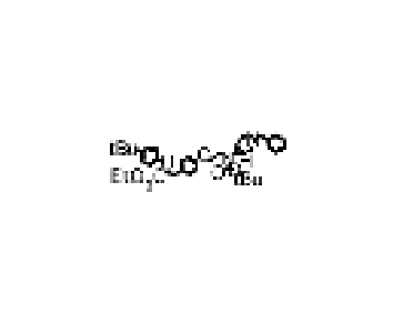 CCOC(=O)[C@H](Cc1ccc(OCCN(C(=O)OC(C)(C)C)[C@@H]2C3CN(Cc4ccccc4)C[C@H]32)cc1)Oc1ccc(C(C)(C)C)cc1